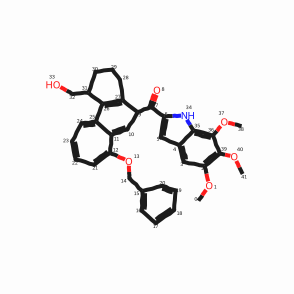 COc1cc2cc(C(=O)C3C=C4C(OCc5ccccc5)=CC=CC=C4C4=C3CCCC4CO)[nH]c2c(OC)c1OC